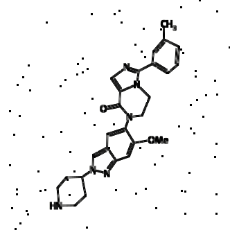 COc1cc2nn(C3CCNCC3)cc2cc1N1CCn2c(cnc2-c2cccc(C)c2)C1=O